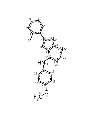 Cc1ccccc1-n1cc2c(Nc3ccc(OC(F)(F)F)cc3)ncnc2n1